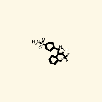 Cc1ccccc1-c1c(-c2ccc(S(N)(=O)=O)cc2)n[nH]c1C(F)(F)F